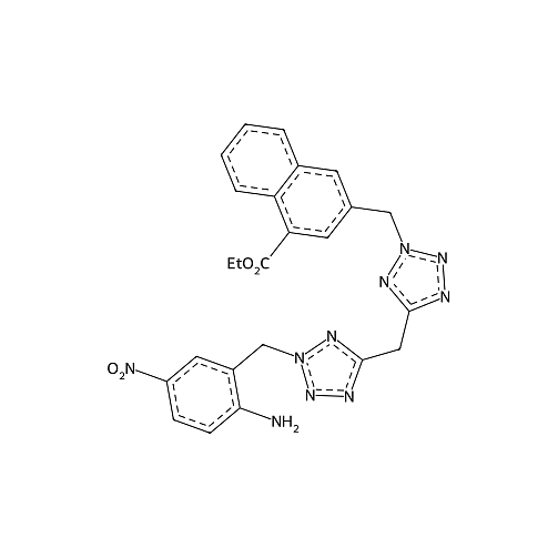 CCOC(=O)c1cc(Cn2nnc(Cc3nnn(Cc4cc([N+](=O)[O-])ccc4N)n3)n2)cc2ccccc12